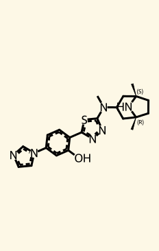 CN(c1nnc(-c2ccc(-n3ccnc3)cc2O)s1)C1C[C@]2(C)CC[C@](C)(C1)N2